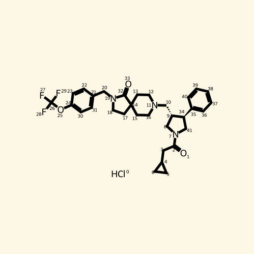 Cl.O=C(CC1CC1)N1C[C@H](CN2CCC3(CC2)CCN(Cc2ccc(OC(F)(F)F)cc2)C3=O)[C@@H](c2ccccc2)C1